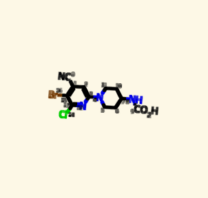 N#Cc1cc(N2CCC(NC(=O)O)CC2)nc(Cl)c1Br